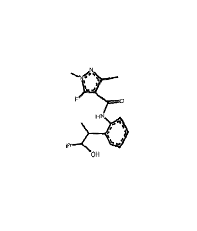 Cc1nn(C)c(F)c1C(=O)Nc1ccccc1C(C)C(O)C(C)C